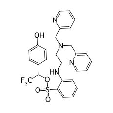 O=S(=O)(OC(c1ccc(O)cc1)C(F)(F)F)c1ccccc1NCCN(Cc1ccccn1)Cc1ccccn1